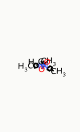 Cc1ccc(N2C(=O)N(c3ccc(C)cc3)C(C)(C)C2=O)cc1